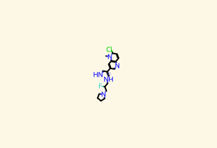 CN1c2cc(/C(C=N)=C/NCC(F)CN3CCCC3)cnc2C=CC1Cl